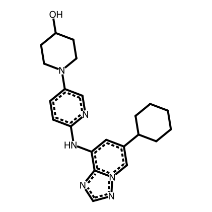 OC1CCN(c2ccc(Nc3cc(C4CCCCC4)cn4ncnc34)nc2)CC1